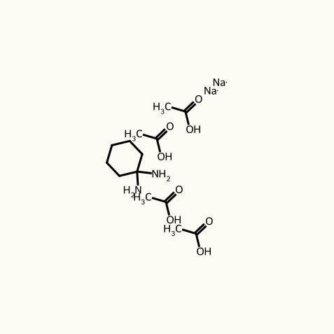 CC(=O)O.CC(=O)O.CC(=O)O.CC(=O)O.NC1(N)CCCCC1.[Na].[Na]